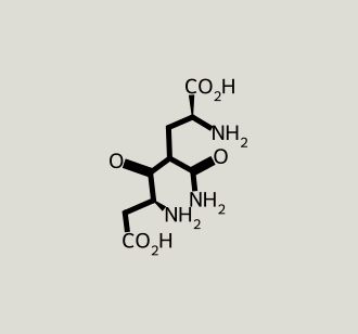 NC(=O)C(C[C@H](N)C(=O)O)C(=O)[C@@H](N)CC(=O)O